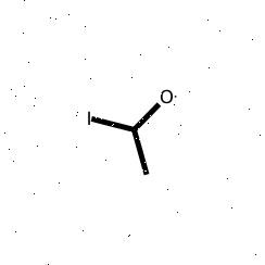 CC([O])I